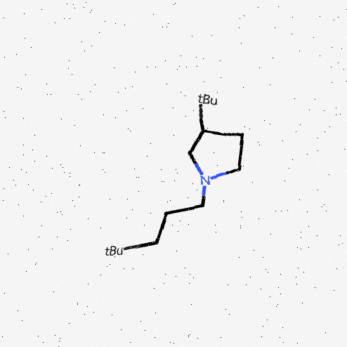 CC(C)(C)CCCN1CCC(C(C)(C)C)C1